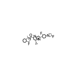 CC1c2ccccc2C(F)CN1C(=O)c1cc(C2CC2)n2nc(-c3ccc(N4CCC(F)C4)cc3F)cc2n1